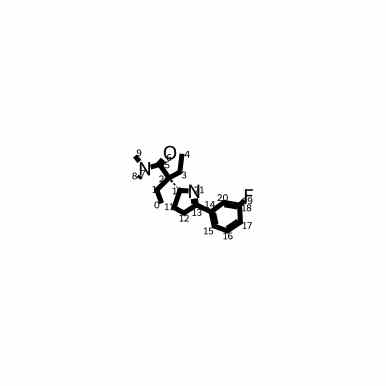 CCC(CC)(C(=O)N(C)C)[C@H]1CCC(c2cccc(F)c2)=N1